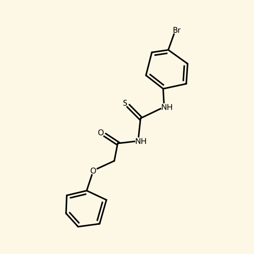 O=C(COc1ccccc1)NC(=S)Nc1ccc(Br)cc1